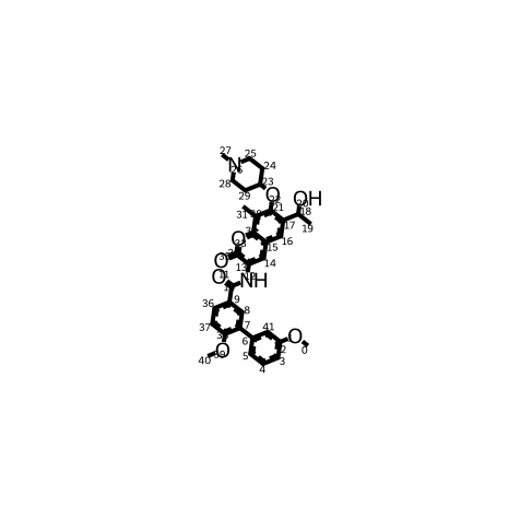 COc1cccc(-c2cc(C(=O)Nc3cc4cc(C(C)O)c(OC5CCN(C)CC5)c(C)c4oc3=O)ccc2OC)c1